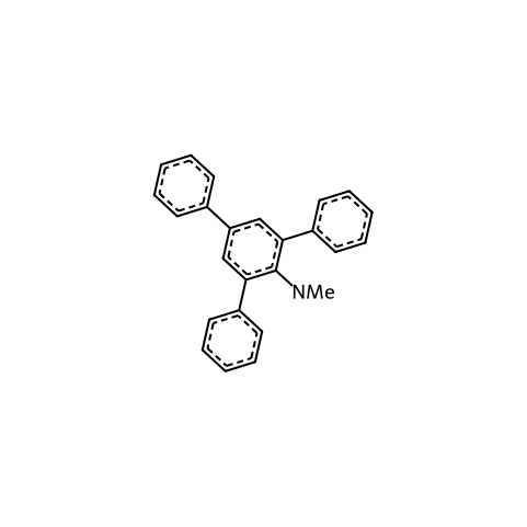 CNc1c(-c2ccccc2)cc(-c2ccccc2)cc1-c1ccccc1